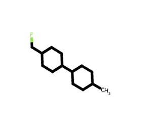 CC1CCC(C2CCC(CF)CC2)CC1